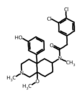 COC12CCC(N(C)C(=O)Cc3ccc(Cl)c(Cl)c3)CC1(c1cccc(O)c1)CCN(C)C2